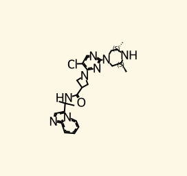 C[C@H]1CN(c2ncc(Cl)c(N3CC(C(=O)NC(C)(C)c4cnc5ccccn45)C3)n2)C[C@H](C)N1